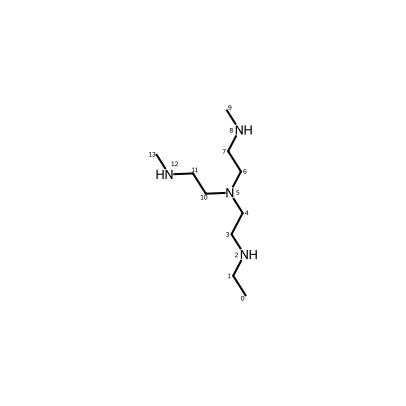 CCNCCN(CCNC)CCNC